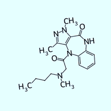 CCCCN(C)CC(=O)N1c2ccccc2NC(=O)c2c1c(C)nn2C